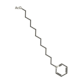 CC(=O)OCCCCCCCCCCCC[n+]1ccccc1